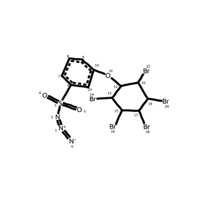 [N-]=[N+]=NS(=O)(=O)c1cccc(OC2C(Br)C(Br)C(Br)C(Br)C2Br)c1